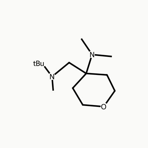 CN(CC1(N(C)C)CCOCC1)C(C)(C)C